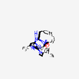 C/C=C(/Nc1cc(C(F)(F)F)nc(N2CC[C@@H]2C)n1)N1[C@H]2OC21OC